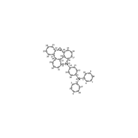 c1ccc(N(c2ccccc2)c2ccc(-n3c4cccc5oc6ccccc6c6cccc3c6c54)cc2)cc1